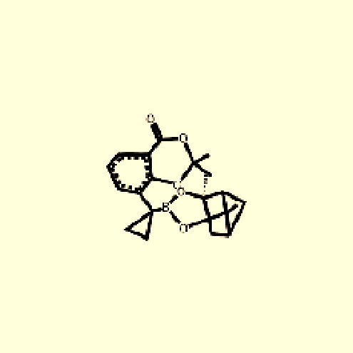 CC1(C)OC(=O)c2cccc(C3(B4OC56CC7CC(C75C)[C@]6(C)O4)CC3)c2O1